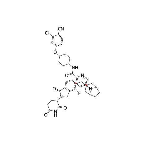 N#Cc1ccc(OC2CCC(NC(=O)c3ccc(N4C5CCC4CN(Cc4ccc6c(c4F)CN(C4CCC(=O)NC4=O)C6=O)C5)nn3)CC2)cc1Cl